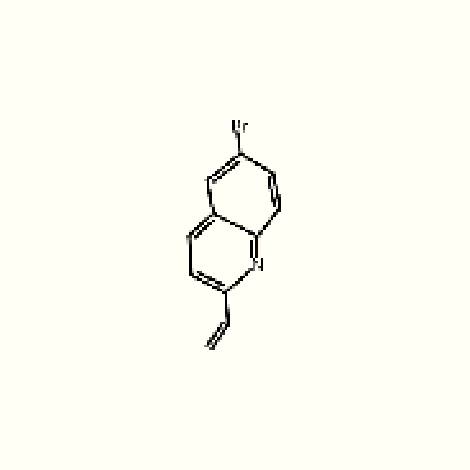 C=Cc1ccc2cc(Br)ccc2n1